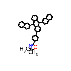 CC1(C)COC(c2ccc(-c3ccc4c(-c5ccc6ccccc6c5)c5ccccc5c(-c5ccc6ccccc6c5)c4c3)cc2)=N1